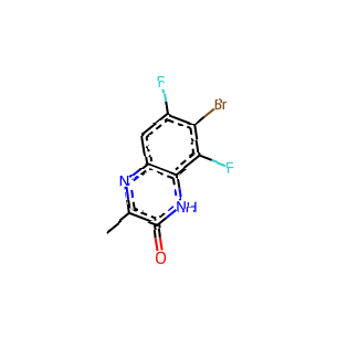 Cc1nc2cc(F)c(Br)c(F)c2[nH]c1=O